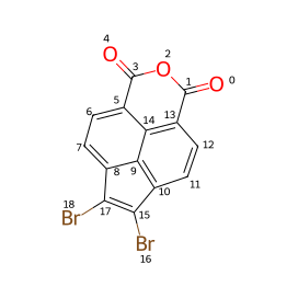 O=C1OC(=O)c2ccc3c4c(ccc1c24)C(Br)=C3Br